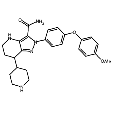 COc1ccc(Oc2ccc(-n3nc4c(c3C(N)=O)NCCC4C3CCNCC3)cc2)cc1